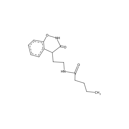 CCCCC(=O)NCCC1C(=O)NOc2ccccc21